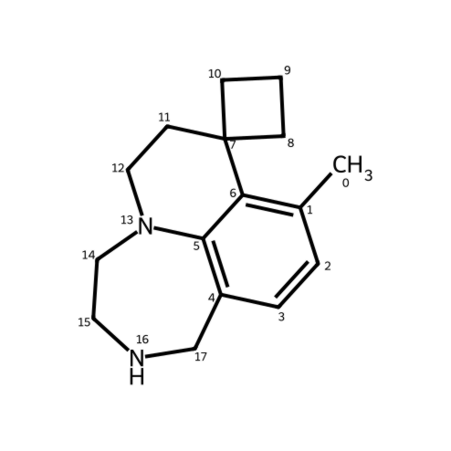 Cc1ccc2c3c1C1(CCC1)CCN3CCNC2